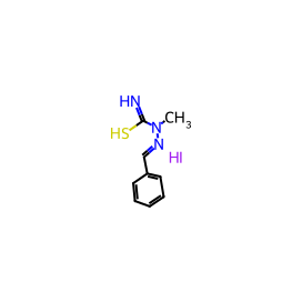 CN(N=Cc1ccccc1)C(=N)S.I